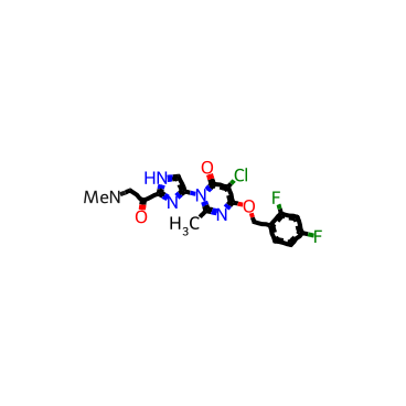 CNCC(=O)c1nc(-n2c(C)nc(OCc3ccc(F)cc3F)c(Cl)c2=O)c[nH]1